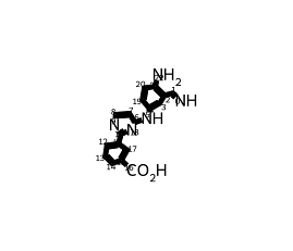 N=Cc1cc(Nc2ccnc(-c3cccc(C(=O)O)c3)n2)ccc1N